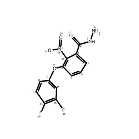 NNC(=O)c1cccc(Oc2ccc(F)c(F)c2)c1[N+](=O)[O-]